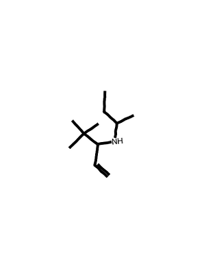 C=CC(NC(C)CC)C(C)(C)C